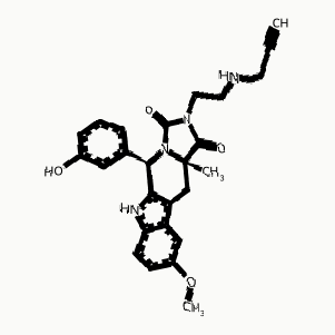 C#CCNCCN1C(=O)N2[C@H](c3cccc(O)c3)c3[nH]c4ccc(OC)cc4c3C[C@@]2(C)C1=O